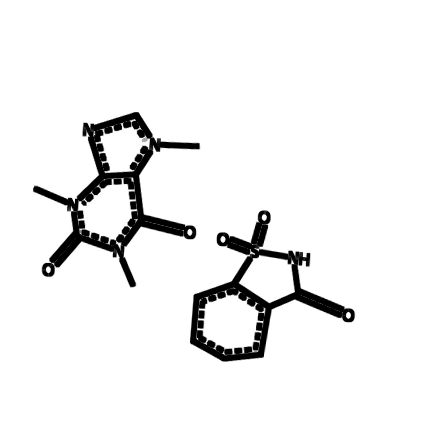 Cn1c(=O)c2c(ncn2C)n(C)c1=O.O=C1NS(=O)(=O)c2ccccc21